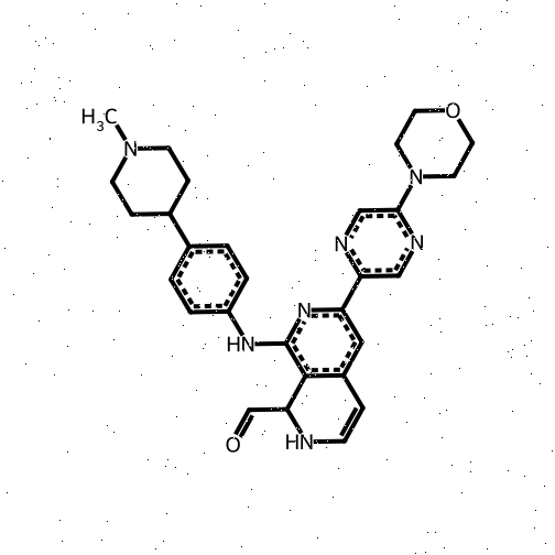 CN1CCC(c2ccc(Nc3nc(-c4cnc(N5CCOCC5)cn4)cc4c3C(C=O)NC=C4)cc2)CC1